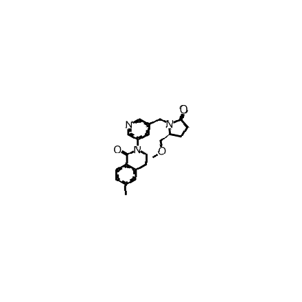 COC[C@@H]1CCC(=O)N1Cc1cncc(N2CCc3cc(C)ccc3C2=O)c1